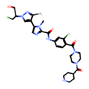 Cn1c(-c2cn(C(CO)CCl)nc2C(F)(F)F)cnc1C(=O)Nc1ccc(C(=O)N2CCN(C(=O)C3CCNCC3)CC2)c(Cl)c1